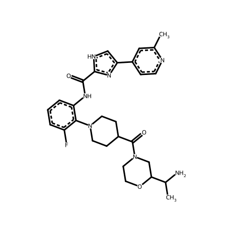 Cc1cc(-c2c[nH]c(C(=O)Nc3cccc(F)c3N3CCC(C(=O)N4CCOC(C(C)N)C4)CC3)n2)ccn1